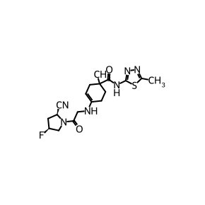 Cc1nnc(NC(=O)C2(C)CC=C(NCC(=O)N3C[C@@H](F)C[C@H]3C#N)CC2)s1